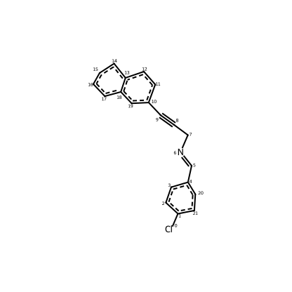 Clc1ccc(C=NCC#Cc2ccc3ccccc3c2)cc1